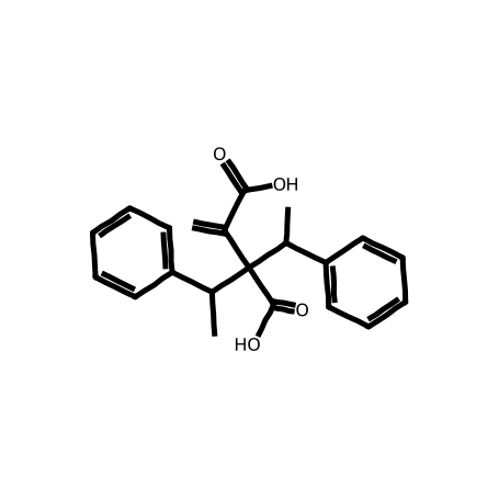 C=C(C(=O)O)C(C(=O)O)(C(C)c1ccccc1)C(C)c1ccccc1